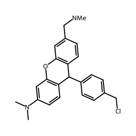 CNCc1ccc2c(c1)Oc1cc(N(C)C)ccc1C2c1ccc(CCl)cc1